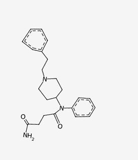 NC(=O)CCC(=O)N(c1ccccc1)C1CCN(CCc2ccccc2)CC1